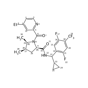 CCc1ccnc(C(=O)N2[C@@H](C(=O)NC(c3cc(F)c(C(F)(F)F)cc3F)C3CC3)C[C@@H](C)[C@H]2C)c1